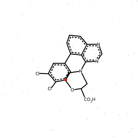 O=C(O)C1CN(c2ncnc3cccc(-c4ccc(Cl)c(Cl)c4)c23)CCO1